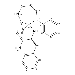 NC(=O)[C@H](Cc1ccccc1)NC12OC1NCCSC2c1ccccc1